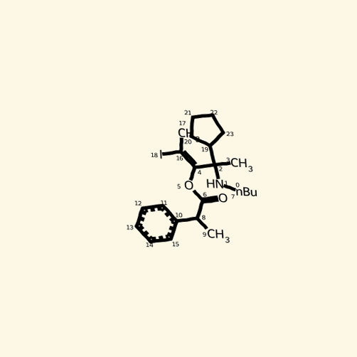 CCCCNC(C)(C(OC(=O)C(C)c1ccccc1)=C(C)I)C1CCCC1